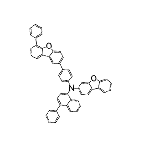 c1ccc(-c2ccc(N(c3ccc(-c4ccc5oc6c(-c7ccccc7)cccc6c5c4)cc3)c3ccc4c(c3)oc3ccccc34)c3ccccc23)cc1